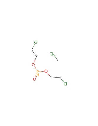 CCl.O=[PH](OCCCl)OCCCl